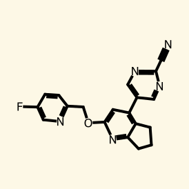 N#Cc1ncc(-c2cc(OCc3ccc(F)cn3)nc3c2CCC3)cn1